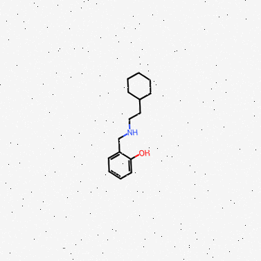 Oc1ccccc1CNCCC1CCCCC1